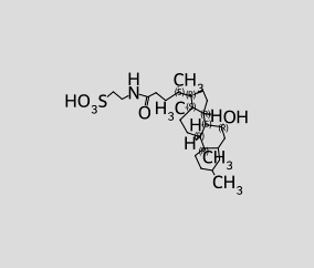 CC1CC[C@]2(C)C(C1)C[C@@H](O)[C@@H]1[C@H]3CC[C@H]([C@@H](C)CCC(=O)NCCS(=O)(=O)O)[C@]3(C)CC[C@H]12